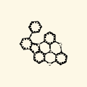 c1ccc(-c2cccc3c4ccc5c6c4n(c23)-c2cccc3c2B6c2c(cccc2O5)O3)cc1